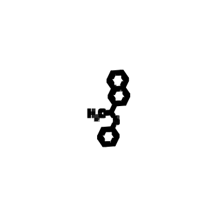 C=C(Sc1ccccc1)c1ccc2ccccc2c1